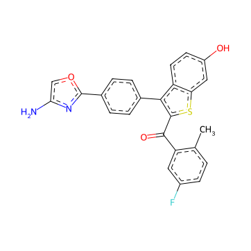 Cc1ccc(F)cc1C(=O)c1sc2cc(O)ccc2c1-c1ccc(-c2nc(N)co2)cc1